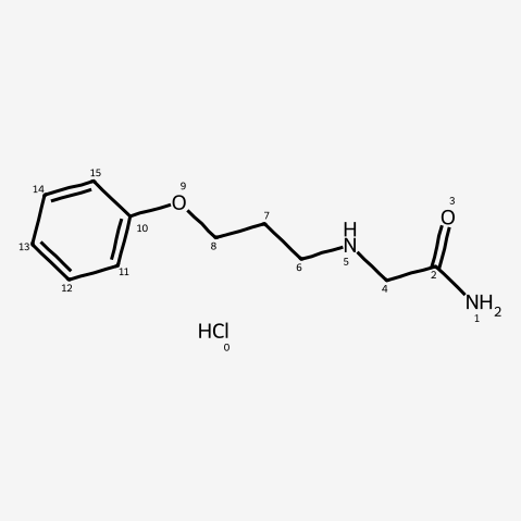 Cl.NC(=O)CNCCCOc1ccccc1